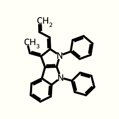 C=C/C=c1\c(=C/C)c2c3ccccc3n(-c3ccccc3)c2n1-c1ccccc1